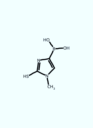 Cn1cc(B(O)O)nc1S